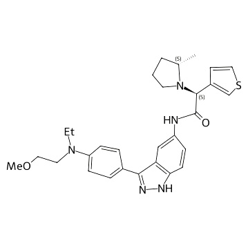 CCN(CCOC)c1ccc(-c2n[nH]c3ccc(NC(=O)[C@H](c4ccsc4)N4CCC[C@@H]4C)cc23)cc1